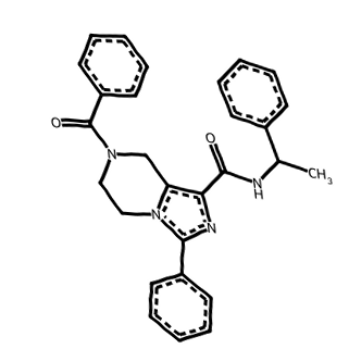 CC(NC(=O)c1nc(-c2ccccc2)n2c1CN(C(=O)c1ccccc1)CC2)c1ccccc1